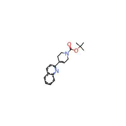 CC(C)(C)OC(=O)N1CC=C(c2ccc3ccccc3n2)CC1